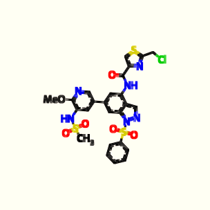 COc1ncc(-c2cc(NC(=O)c3csc(CCl)n3)c3cnn(S(=O)(=O)c4ccccc4)c3c2)cc1NS(C)(=O)=O